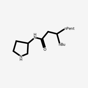 CCCCCC(CCCC)CC(=O)NC1CCNC1